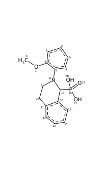 COc1ccccc1N1CCc2ccccc2C1P(=O)(O)O